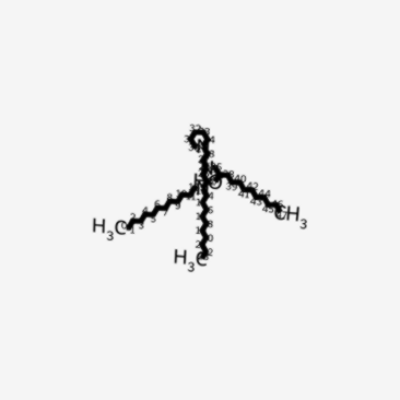 CCCCCCCCCCCCCN(CCCCCCCCCC)CCN(CCN1CCCCC1)CC(O)CCCCCCCCCC